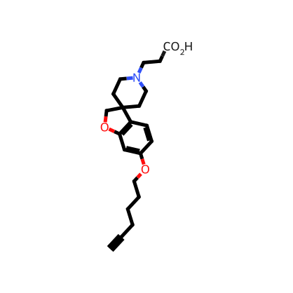 C#CCCCCOc1ccc2c(c1)OCC21CCN(CCC(=O)O)CC1